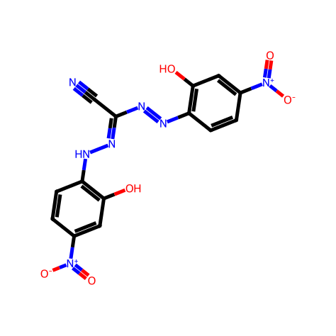 N#CC(N=Nc1ccc([N+](=O)[O-])cc1O)=NNc1ccc([N+](=O)[O-])cc1O